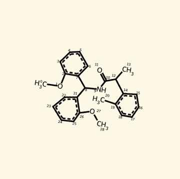 COc1ccccc1C(NC(=O)C(C)c1ccccc1C)c1ccccc1OC